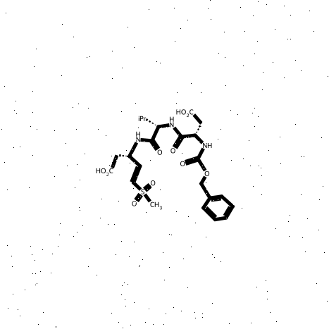 CC(C)[C@H](NC(=O)[C@H](CC(=O)O)NC(=O)OCc1ccccc1)C(=O)N[C@H](/C=C/S(C)(=O)=O)CC(=O)O